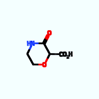 O=C(O)C1OCCNC1=O